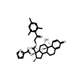 Cc1cc(C)c(C(=O)CSC(=O)[C@@]2(OC(=O)c3ccco3)[C@H](C)CC3C4CCC5=CC(=O)C=C[C@]5(C)[C@@]4(Cl)[C@@H](O)C[C@@]32C)c(C)c1